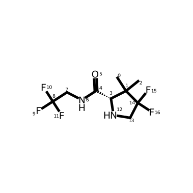 CC1(C)[C@@H](C(=O)NCC(F)(F)F)NCC1(F)F